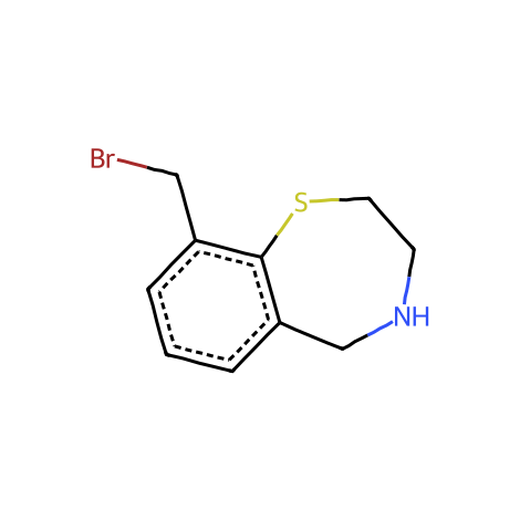 BrCc1cccc2c1SCCNC2